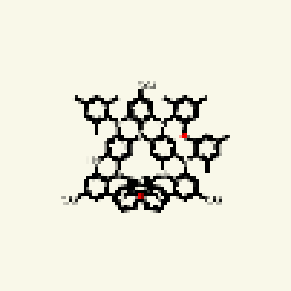 Cc1cc(C)c(N2c3cc4c(cc3B3c5sc6ccccc6c5Oc5cc(C(C)(C)C)cc2c53)B2c3cc5c(cc3N(c3c(C)cc(C)cc3C)c3cc(C(C)(C)C)cc(c32)N4c2c(C)cc(C)cc2C)Nc2cc(C(C)(C)C)cc3c2B5c2sc4ccccc4c2O3)c(C)c1